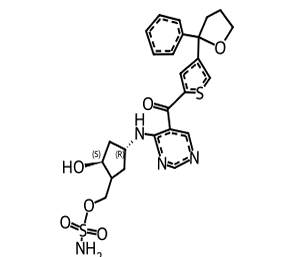 NS(=O)(=O)OCC1C[C@@H](Nc2ncncc2C(=O)c2cc(C3(c4ccccc4)CCCO3)cs2)C[C@@H]1O